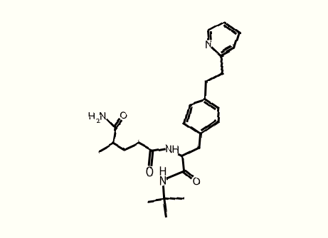 CC(C[CH]C(=O)NC(Cc1ccc(CCc2ccccn2)cc1)C(=O)NC(C)(C)C)C(N)=O